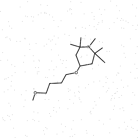 COCCCCOC1CC(C)(C)N(C)C(C)(C)C1